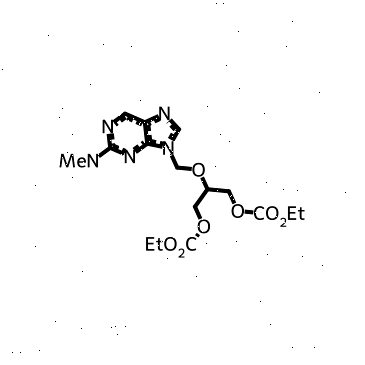 CCOC(=O)OCC(COC(=O)OCC)OCn1cnc2cnc(NC)nc21